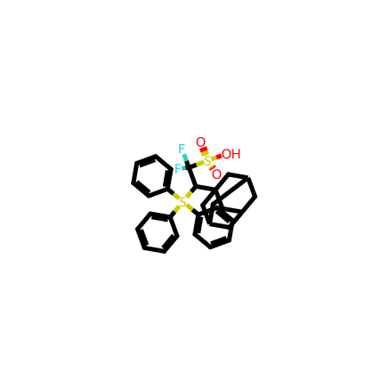 O=S(=O)(O)C(F)(F)C(C12CC3CC(CC(C3)C1)C2)S(c1ccccc1)(c1ccccc1)c1ccccc1